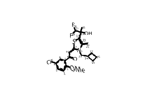 COc1ccc(Cl)cc1C(=O)C=C1SC(C(C)(O)C(F)F)=C(C)N1CC1CCC1